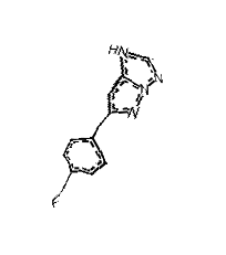 Fc1ccc(-c2cc3[nH][c]nn3n2)cc1